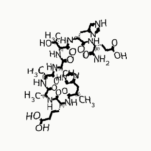 C[C@H](Cc1c[nH]cn1)C(=O)N[C@H](CCCC(O)O)C(=O)N[C@H](C)C(=O)N[C@H](C)C(=O)N[C@H](C)C(=O)N[C@@H](C(=O)N[C@H](Cc1c[nH]cn1)C(=O)N[C@H](CCC(=O)O)C(N)=O)[C@H](C)O